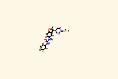 CCCCN1CCC(c2c(C)oc3ccc(NC(=O)Nc4ccccc4)cc23)CC1